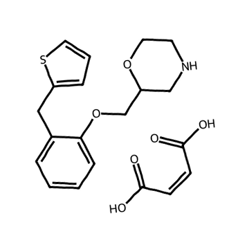 O=C(O)/C=C\C(=O)O.c1csc(Cc2ccccc2OCC2CNCCO2)c1